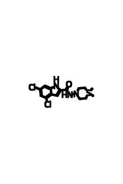 CS1(C)CCN(NC(=O)c2cc3c(Cl)cc(Cl)cc3[nH]2)CC1